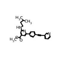 COC(=O)c1cc(NCCC(C)C)nc(-c2ccc(C#Cc3cccnc3)cc2)c1